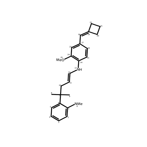 CNc1ccccc1C(C)(C)C/C=C/Nc1ccc(C=C2CCC2)cc1OC